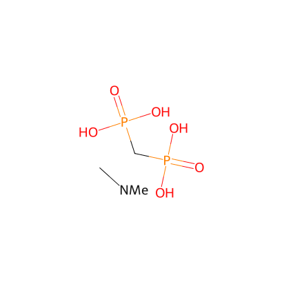 CNC.O=P(O)(O)CP(=O)(O)O